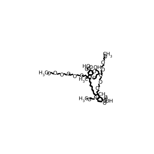 COCCOCCOCCOCCOCCOCCC1(C)C(/C=C/C=C/C=C/C=C2/N(CCOC)c3ccc(S(=O)(=O)O)cc3C2(C)CCOCCOCCOCCOCCOCCOC)=[N+](CCCCCC(=O)O)c2ccc(S(=O)(=O)O)cc21